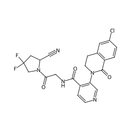 N#CC1CC(F)(F)CN1C(=O)CNC(=O)c1ccncc1N1CCc2cc(Cl)ccc2C1=O